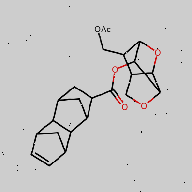 CC(=O)OCC1C2COC3C2OC1C3OC(=O)C1CC2CC1C1C3C=CC(C3)C21